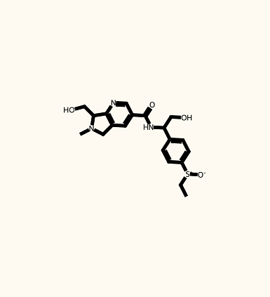 CC[S+]([O-])c1ccc(C(CO)NC(=O)c2cnc3c(c2)CN(C)C3CO)cc1